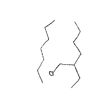 CCCCC(CC)CCl.CCCCCCC